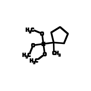 CO[Si](OC)(OC)C1(C)CCCC1